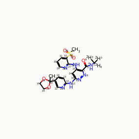 [2H]C([2H])([2H])NC(=O)c1nnc(Nc2ccc(C3(C)OCCO3)cn2)cc1Nc1ncccc1S(C)(=O)=O